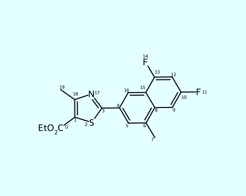 CCOC(=O)c1sc(-c2cc(C)c3cc(F)cc(F)c3c2)nc1C